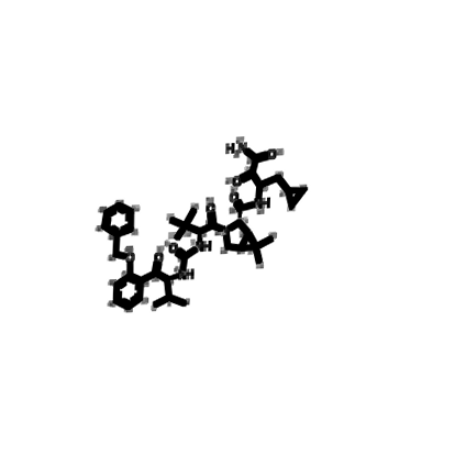 CC(C)[C@H](NC(=O)N[C@H](C(=O)N1CC2C([C@H]1C(=O)NC(CC1CC1)C(=O)C(N)=O)C2(C)C)C(C)(C)C)C(=O)c1ccccc1OCc1ccccc1